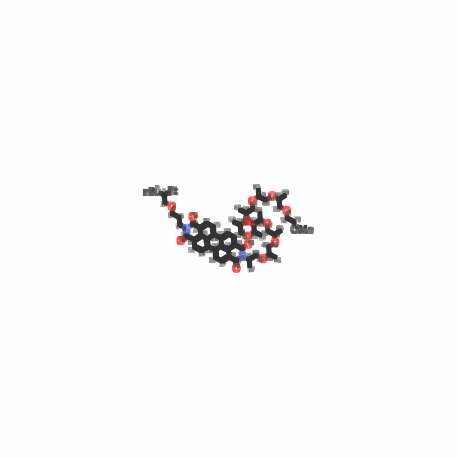 CCCCC(CC)COCCCN1C(=O)c2ccc3c4ccc5c6c(ccc(c7ccc(c2c37)C1=O)c64)C(=O)N(C(C)COC(C)COC(C)COC(C)COC(C)COC(C)COC(C)COC(C)COC(C)COCCOC)C5=O